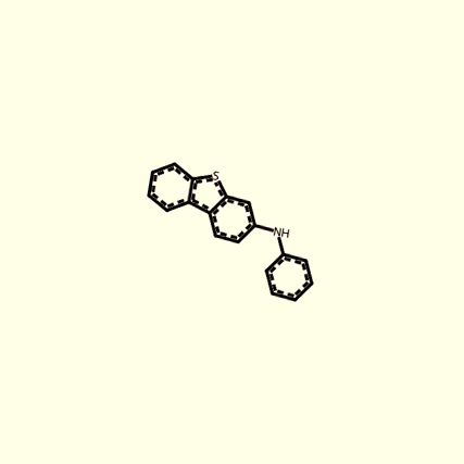 c1ccc(Nc2ccc3c(c2)sc2ccccc23)cc1